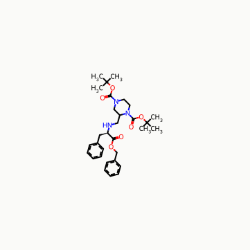 CC(C)(C)OC(=O)N1CCN(C(=O)OC(C)(C)C)C(CN[C@H](Cc2ccccc2)C(=O)OCc2ccccc2)C1